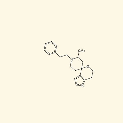 COC1CC2(CCN1CCc1ccccc1)OCCc1sccc12